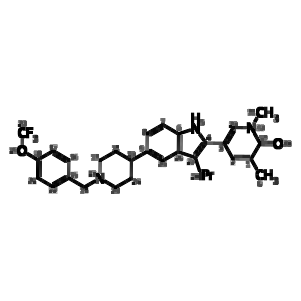 Cc1cc(-c2[nH]c3ccc(C4CCN(Cc5ccc(OC(F)(F)F)cc5)CC4)cc3c2C(C)C)cn(C)c1=O